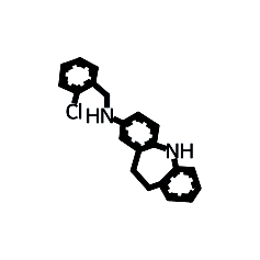 Clc1ccccc1CNc1ccc2c(c1)CCc1ccccc1N2